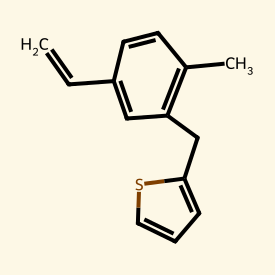 C=Cc1ccc(C)c(Cc2cccs2)c1